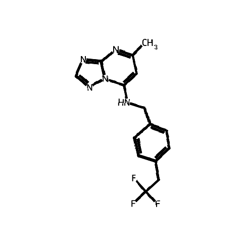 Cc1cc(NCc2ccc(CC(F)(F)F)cc2)n2ncnc2n1